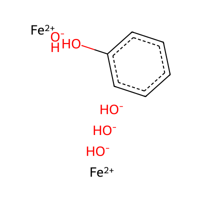 Oc1ccccc1.[Fe+2].[Fe+2].[OH-].[OH-].[OH-].[OH-]